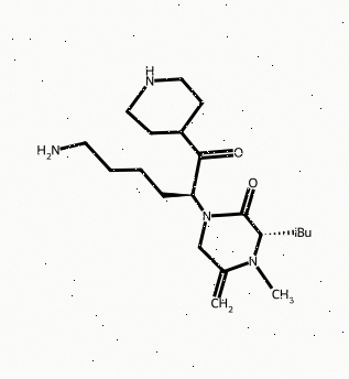 C=C1CN([C@@H](CCCCN)C(=O)C2CCNCC2)C(=O)[C@H](C(C)CC)N1C